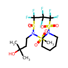 CC(C)(O)CCN(S(C)(=O)=O)S(=O)(=O)C(F)(F)C(F)(F)C(F)(F)S(=O)(=O)N1CCCCC1